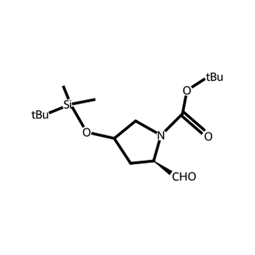 CC(C)(C)OC(=O)N1CC(O[Si](C)(C)C(C)(C)C)C[C@@H]1C=O